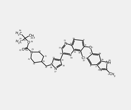 Cc1nc2ccc(Oc3ccc4ncc(-c5cnn(CC6CCN(C(=O)OC(C)(C)C)CC6)c5)nc4c3Cl)cc2[nH]1